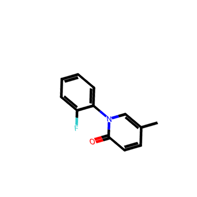 Cc1ccc(=O)n(-c2ccccc2F)c1